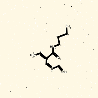 C/C=C(\C=N/C=N)C(=O)NCCCC